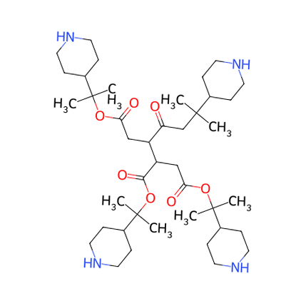 CC(C)(CC(=O)C(CC(=O)OC(C)(C)C1CCNCC1)C(CC(=O)OC(C)(C)C1CCNCC1)C(=O)OC(C)(C)C1CCNCC1)C1CCNCC1